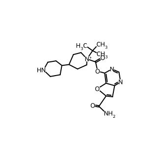 CC(C)(C)[N+]1(C(=O)Oc2ncnc3cc(C(N)=O)oc23)CCC(C2CCNCC2)CC1